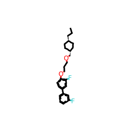 CCC[C@H]1CC[C@H](COCCCOc2ccc(-c3cccc(F)c3)cc2F)CC1